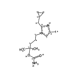 CC(C)(CCCn1cc(I)nc1CC1CC1)OC(N)=O